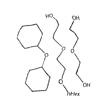 C1CCC(OC2CCCCC2)CC1.CCCCCCOCCOCCO.OCCOCCO